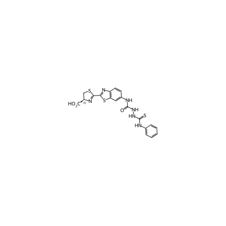 O=C(NNC(=S)Nc1ccccc1)Nc1ccc2nc(C3=N[C@@H](C(=O)O)CS3)sc2c1